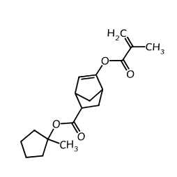 C=C(C)C(=O)OC1=CC2CC1CC2C(=O)OC1(C)CCCC1